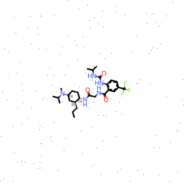 CCC[C@H]1C[C@@H](N(C)C(C)C)CC[C@@H]1NC(=O)CNC(=O)c1cc(C(F)(F)F)ccc1NC(=O)NC(C)C